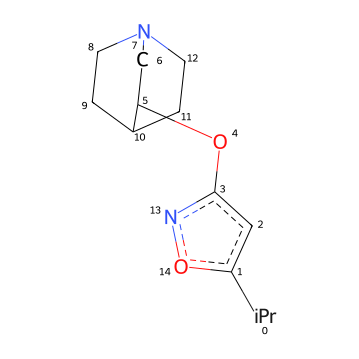 CC(C)c1cc(OC2CN3CCC2CC3)no1